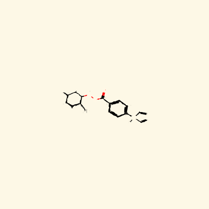 C=C[Si](C=C)(CC)c1ccc(C(=O)OO[C]2CC(C)CCC2C(C)C)cc1